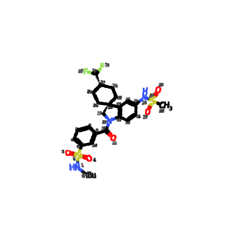 CC(C)(C)NS(=O)(=O)c1cccc(C(=O)N2C[C@]3(CC[C@@H](C(F)F)CC3)c3cc(NS(C)(=O)=O)ccc32)c1